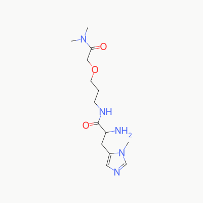 CN(C)C(=O)COCCCNC(=O)C(N)Cc1cncn1C